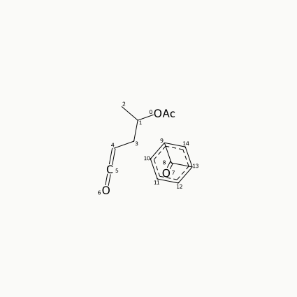 CC(=O)OC(C)CC=C=O.O=C1c2cccc1c2